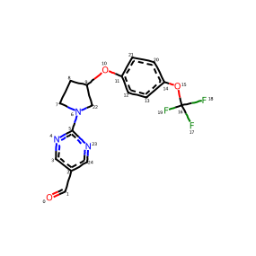 O=Cc1cnc(N2CCC(Oc3ccc(OC(F)(F)F)cc3)C2)nc1